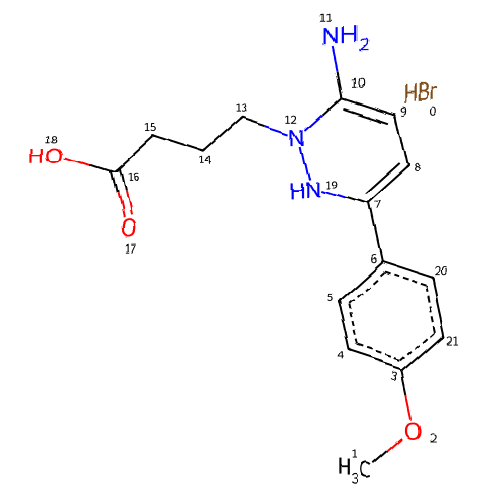 Br.COc1ccc(C2=CC=C(N)N(CCCC(=O)O)N2)cc1